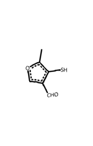 Cc1occ(C=O)c1S